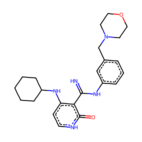 N=C(Nc1cccc(CN2CCOCC2)c1)c1c(NC2CCCCC2)cc[nH]c1=O